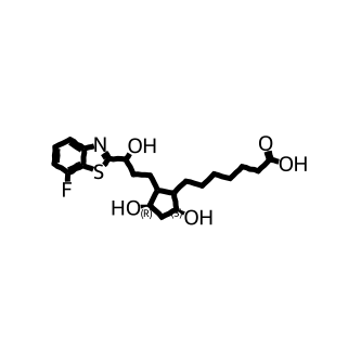 O=C(O)CCCCCCC1C(CCC(O)c2nc3cccc(F)c3s2)[C@H](O)C[C@@H]1O